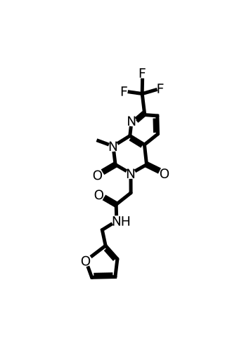 Cn1c(=O)n(CC(=O)NCc2ccco2)c(=O)c2ccc(C(F)(F)F)nc21